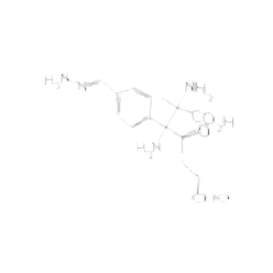 CC(N)(C(=O)O)C(N)(C(=O)CCC=O)c1ccc(C=NN)cc1